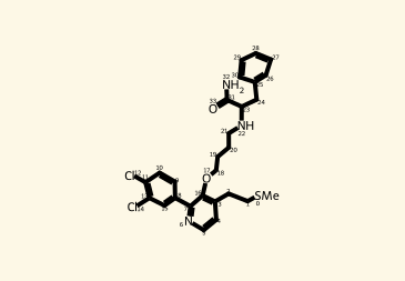 CSCCc1ccnc(-c2ccc(Cl)c(Cl)c2)c1OCCCCNC(Cc1ccccc1)C(N)=O